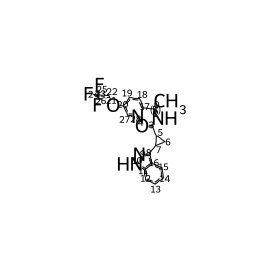 C[C@@H](NC(=O)C1CC1c1n[nH]c2ccccc12)c1ccc(OCC(F)(F)F)cn1